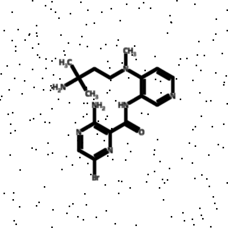 CN(CCC(C)(C)N)c1ccncc1NC(=O)c1nc(Br)cnc1N